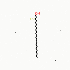 CCCCCCCCCCCCCCCCCCCCCC(S)CCO